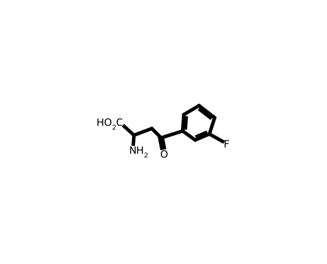 NC(CC(=O)c1cccc(F)c1)C(=O)O